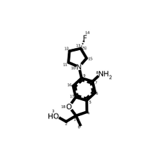 CC1(CO)Cc2cc(N)c(N3CC[C@H](F)C3)cc2O1